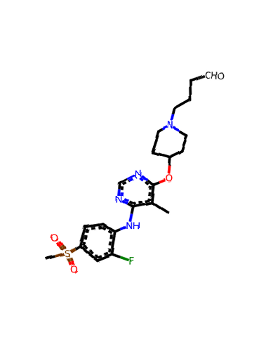 Cc1c(Nc2ccc(S(C)(=O)=O)cc2F)ncnc1OC1CCN(CCCC=O)CC1